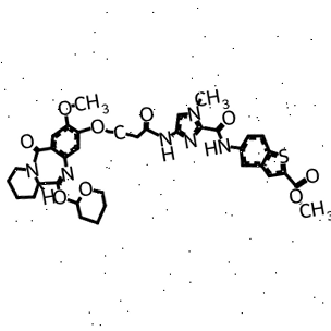 COC(=O)c1cc2cc(NC(=O)c3nc(NC(=O)CCCOc4cc5c(cc4OC)C(=O)N4CCCC[C@H]4C(OC4CCCCO4)=N5)cn3C)ccc2s1